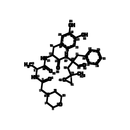 CC(NC(=O)CN1CCOCC1)C(=O)NC(Cc1ccc(O)c(O)c1)C(=O)NC(C=O)(Cc1ccccc1)CC1(C)CO1